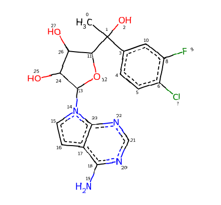 CC(O)(c1ccc(Cl)c(F)c1)C1OC(n2ccc3c(N)ncnc32)C(O)C1O